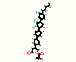 C=C(C)C(=O)OCC(CCO)C1CCC(c2ccc(-c3ccc(-c4ccc(CCCCC)c(F)c4)c(F)c3)c(F)c2)CC1